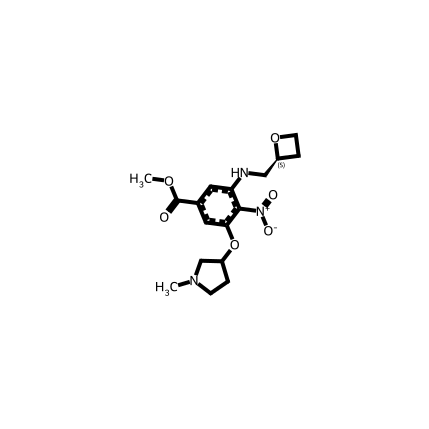 COC(=O)c1cc(NC[C@@H]2CCO2)c([N+](=O)[O-])c(OC2CCN(C)C2)c1